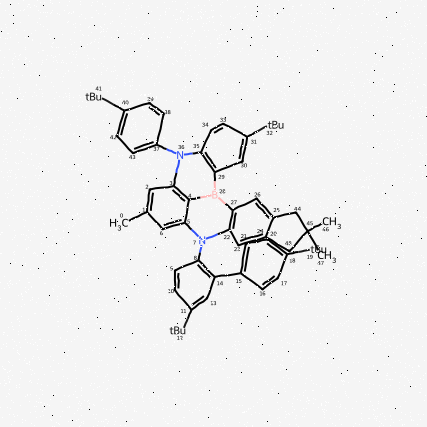 Cc1cc2c3c(c1)N(c1ccc(C(C)(C)C)cc1-c1ccc(C(C)(C)C)cc1)c1cc4c(cc1B3c1cc(C(C)(C)C)ccc1N2c1ccc(C(C)(C)C)cc1)CC(C)(C)C4